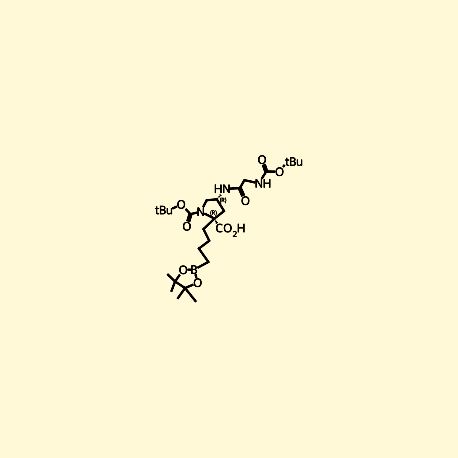 CC(C)(C)OC(=O)NCC(=O)N[C@H]1CN(C(=O)OC(C)(C)C)[C@@](CCCCB2OC(C)(C)C(C)(C)O2)(C(=O)O)C1